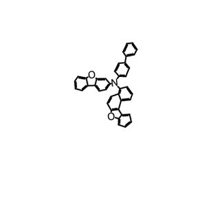 c1ccc(-c2ccc(N(c3ccc4c(c3)oc3ccccc34)c3cccc4c3ccc3oc5ccccc5c34)cc2)cc1